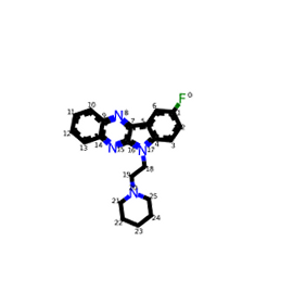 Fc1ccc2c(c1)c1nc3ccccc3nc1n2CCN1CCCCC1